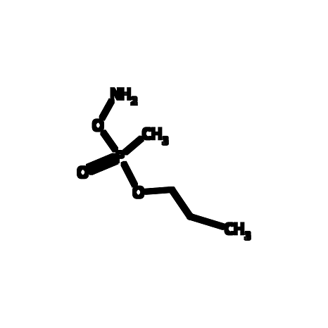 CCCOP(C)(=O)ON